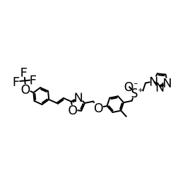 Cc1cc(OCc2coc(/C=C/c3ccc(OC(F)(F)F)cc3)n2)ccc1C[S+]([O-])CCn1ccnn1